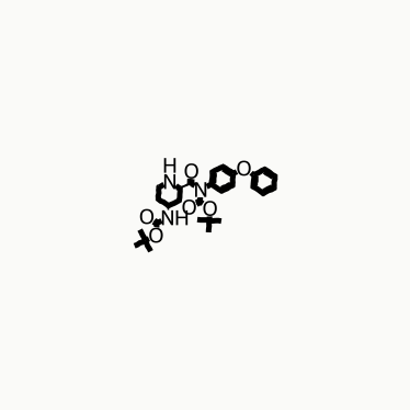 CC(C)(C)OC(=O)N[C@@H]1CCN[C@@H](C(=O)N(C(=O)OC(C)(C)C)c2ccc(Oc3ccccc3)cc2)C1